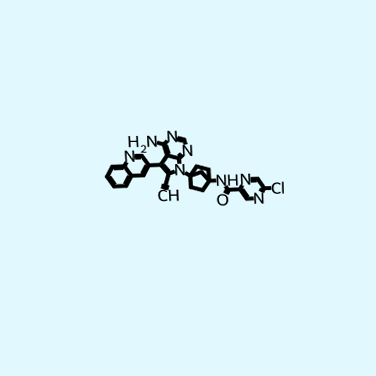 C#Cc1c(-c2cnc3ccccc3c2)c2c(N)ncnc2n1C12CCC(NC(=O)c3cnc(Cl)cn3)(CC1)C2